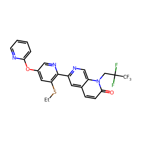 CCSc1cc(Oc2ccccn2)cnc1-c1cc2ccc(=O)n(CC(F)(F)C(F)(F)F)c2cn1